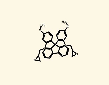 COc1ccc(C2(c3ccc(OC)cc3OCC3CO3)c3ccccc3-c3ccccc32)c(OCC2CO2)c1